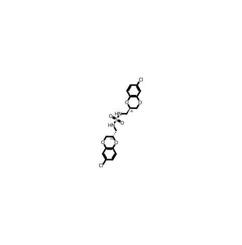 O=S(=O)(NC[C@@H]1COc2cc(Cl)ccc2O1)NC[C@H]1COc2cc(Cl)ccc2O1